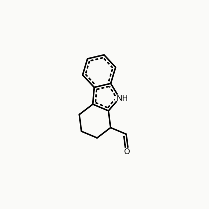 O=CC1CCCc2c1[nH]c1ccccc21